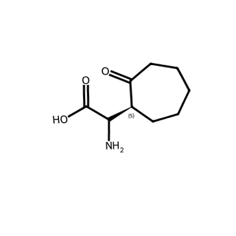 NC(C(=O)O)[C@@H]1CCCCCC1=O